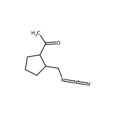 CC(=O)C1CCCC1CN=[N+]=[N-]